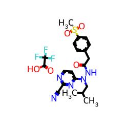 CC(C)CN(NC(=O)Cc1ccc(S(C)(=O)=O)cc1)c1ccnc(C#N)n1.O=C(O)C(F)(F)F